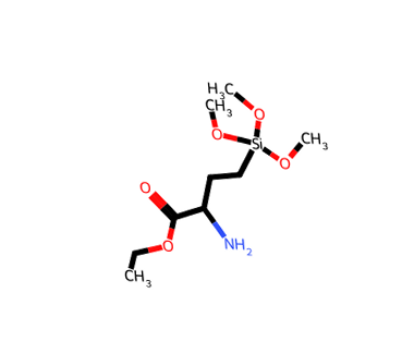 CCOC(=O)C(N)CC[Si](OC)(OC)OC